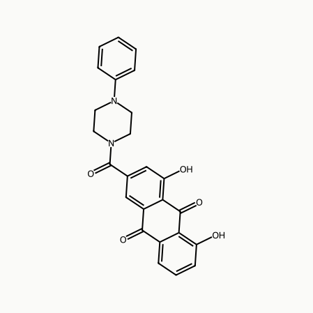 O=C1c2cccc(O)c2C(=O)c2c(O)cc(C(=O)N3CCN(c4ccccc4)CC3)cc21